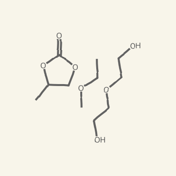 CC1COC(=O)O1.CCOC.OCCOCCO